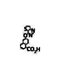 O=C(O)c1cccc2cc(Oc3ncnc4ccsc34)ccc12